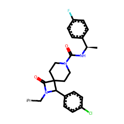 CC(C)CN1C(=O)C2(CCN(C(=O)N[C@H](C)c3ccc(F)cc3)CC2)C1c1ccc(Cl)cc1